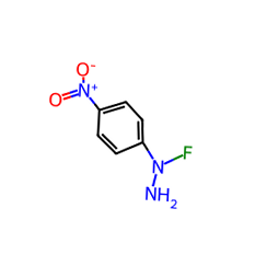 NN(F)c1ccc([N+](=O)[O-])cc1